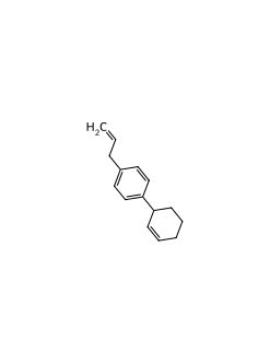 C=CCc1ccc(C2C=CCCC2)cc1